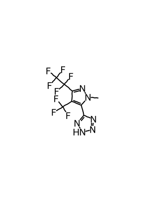 Cn1nc(C(F)(F)C(F)(F)F)c(C(F)(F)F)c1-c1nn[nH]n1